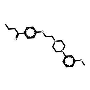 CCCC(=O)c1ccc(OCCN2CCN(c3cccc(OC)c3)CC2)cc1